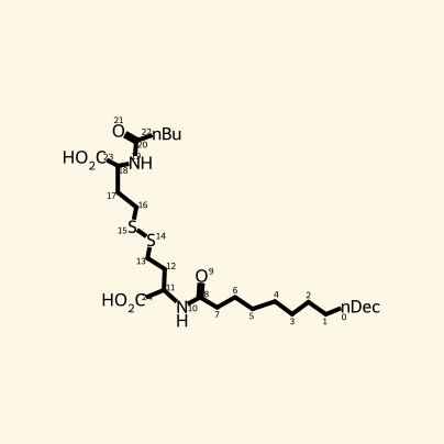 CCCCCCCCCCCCCCCCCC(=O)NC(CCSSCCC(NC(=O)CCCC)C(=O)O)C(=O)O